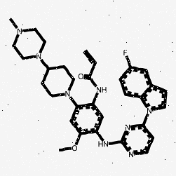 C=CC(=O)Nc1cc(Nc2nccc(-n3ccc4cc(F)ccc43)n2)c(OC)cc1N1CCC(N2CCN(C)CC2)CC1